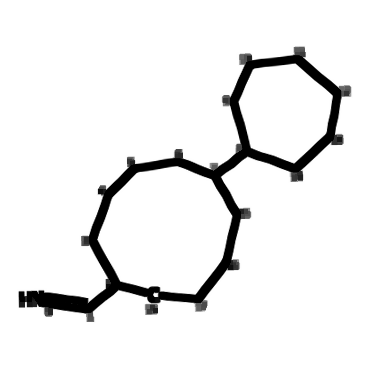 N=CC1CCCCC(C2CCCCCC2)CCCC1